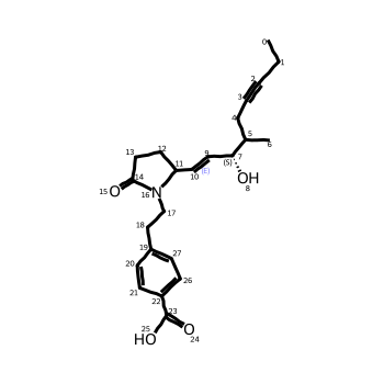 CCC#CCC(C)[C@H](O)/C=C/C1CCC(=O)N1CCc1ccc(C(=O)O)cc1